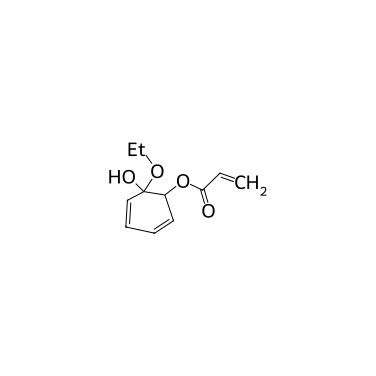 C=CC(=O)OC1C=CC=CC1(O)OCC